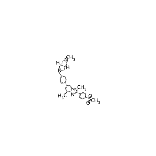 Cc1cc(-c2ccc(CN3C[C@H]4CN(C)C[C@H]4C3)cc2)cc2c1nc(-c1ccc(S(C)(=O)=O)cc1)n2C